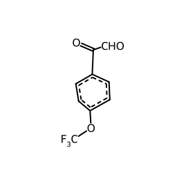 O=CC(=O)c1ccc(OC(F)(F)F)cc1